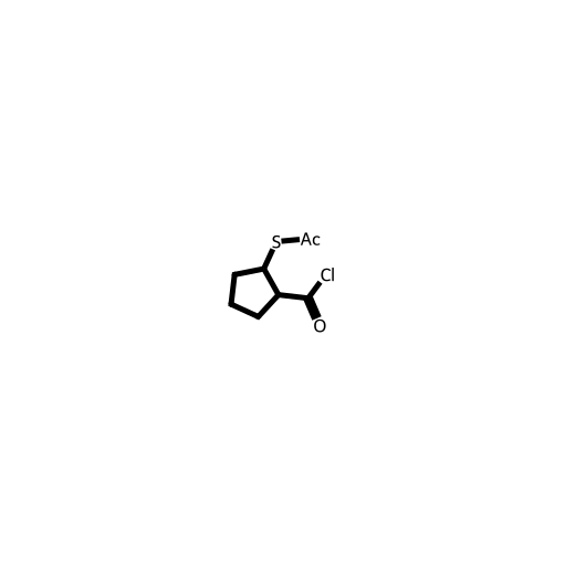 CC(=O)SC1CCCC1C(=O)Cl